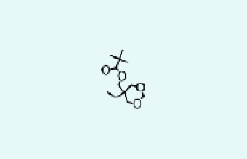 CCC1(COC(=O)C(C)(C)C)COCOC1